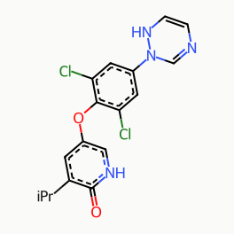 CC(C)c1cc(Oc2c(Cl)cc(N3C=NC=CN3)cc2Cl)c[nH]c1=O